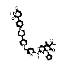 CC(=O)c1c(C)c2cnc(Nc3ccc(CN4CCC(C5CCN(c6ccc(C7CCC(=O)NC7=O)cc6)CC5)CC4)cn3)nc2n(C2CCCC2)c1=O